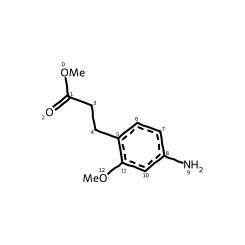 COC(=O)CCc1ccc(N)cc1OC